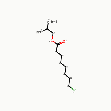 CCCCCCCC(CCC)COC(=O)CCCCCCCBr